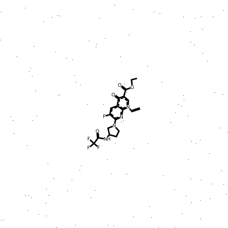 C=Cn1cc(C(=O)OCC)c(=O)c2cc(F)c(N3CCC(NC(=O)C(F)(F)F)C3)nc21